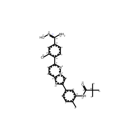 Cc1ccc(-c2cn3nc(-c4ccc(/C(N)=N\O)cc4Cl)ccc3n2)cc1NC(=O)C(C)(C)C